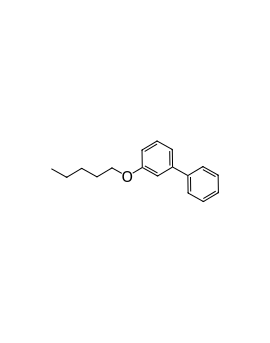 CCCCCOc1cccc(-c2ccccc2)c1